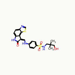 CC(C)(CO)CNS(=O)(=O)c1ccc(N/C=C2\C(=O)Nc3ccc4ncsc4c32)cc1